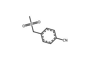 CS(=O)(=O)Cc1ccc(C#N)cc1